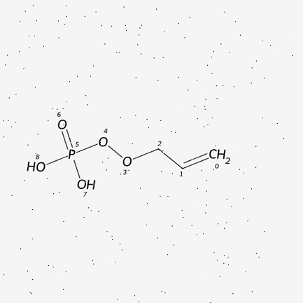 C=CCOOP(=O)(O)O